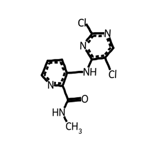 CNC(=O)c1ncccc1Nc1nc(Cl)ncc1Cl